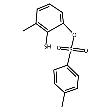 Cc1ccc(S(=O)(=O)Oc2cccc(C)c2S)cc1